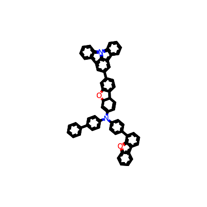 C1=CC2c3ccc(-c4cc5c6ccccc6n6c7ccccc7c(c4)c56)cc3OC2C=C1N(c1ccc(-c2ccccc2)cc1)c1ccc(-c2cccc3c2oc2ccccc23)cc1